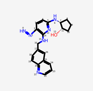 N=Nc1ccc(N[C@@H]2CCC[C@@H]2O)nc1NCc1ccc2ncccc2c1